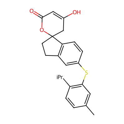 Cc1ccc(C(C)C)c(Sc2ccc3c(c2)CCC32CC(O)=CC(=O)O2)c1